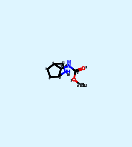 CC(C)(C)OC(=O)NC1C2CCC1NC2